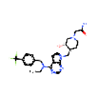 CCN(Cc1ccc(C(F)(F)F)cc1)c1ncnc2c1ccn2C[C@@H]1CCN(CC(N)=O)C[C@H]1O